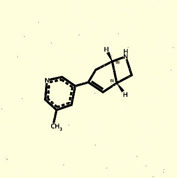 Cc1cncc(C2=C[C@H]3CN[C@H]3C2)c1